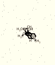 CNC1C[C@]23CCN(C)[C@H](Cc4ccc(OC)c(O)c42)[C@@H]3CC1OC